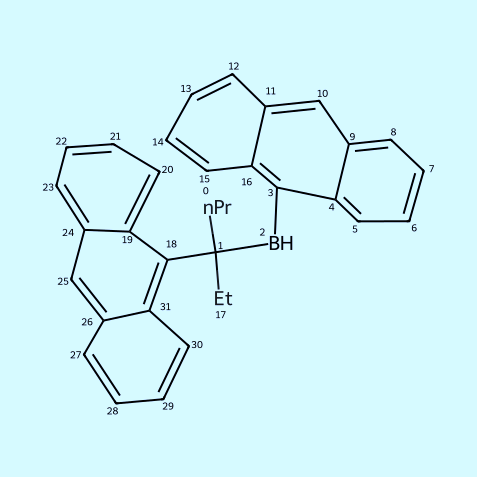 CCCC(Bc1c2ccccc2cc2ccccc12)(CC)c1c2ccccc2cc2ccccc12